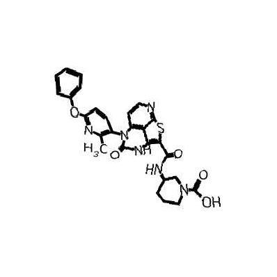 Cc1nc(Oc2ccccc2)ccc1N1C(=O)Nc2c(C(=O)NC3CCCN(C(=O)O)C3)sc3nccc1c23